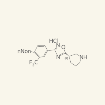 CCCCCCCCCc1ccc(-c2noc([C@@H]3CCCNC3)n2)cc1C(F)(F)F.Cl